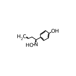 C=CCC(=NO)c1ccc(O)cc1